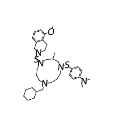 COc1cccc2c1CCN(SN1CCCN(CC3CCCCC3)CCCN(Sc3ccc(N(C)C)cc3)CC(C)C1)C2